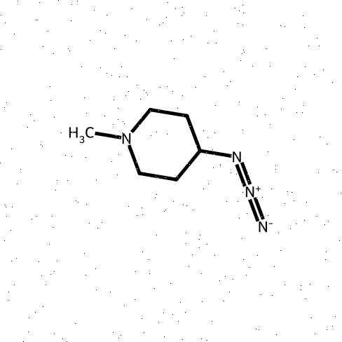 CN1CCC(N=[N+]=[N-])CC1